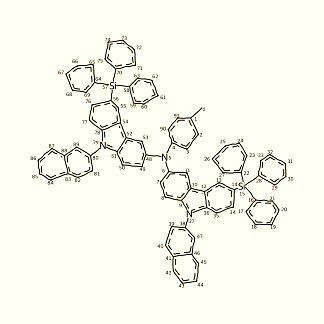 Cc1ccc(N(c2ccc3c(c2)c2cc([Si](c4ccccc4)(c4ccccc4)c4ccccc4)ccc2n3-c2ccc3ccccc3c2)c2ccc3c(c2)c2cc([Si](c4ccccc4)(c4ccccc4)c4ccccc4)ccc2n3-c2ccc3ccccc3c2)cc1